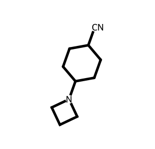 N#CC1CCC(N2CCC2)CC1